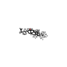 C[C@@H]1C[C@H](C(O)C(C)(C)O)O[C@H]2C1[C@@]1(C)CC[C@@]34CC35CCC(OC3CN(C(=O)C6CC6)CCO3)C(C)(C)[C@@H]5CC[C@H]4[C@]1(C)[C@H]2O